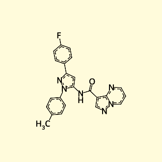 Cc1ccc(-n2nc(-c3ccc(F)cc3)cc2NC(=O)c2cnn3cccnc23)cc1